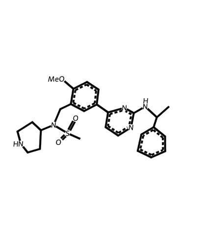 COc1ccc(-c2ccnc(NC(C)c3ccccc3)n2)cc1CN(C1CCNCC1)S(C)(=O)=O